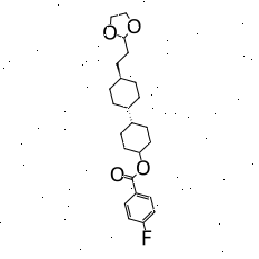 O=C(OC1CCC([C@H]2CC[C@H](CCC3OCCO3)CC2)CC1)c1ccc(F)cc1